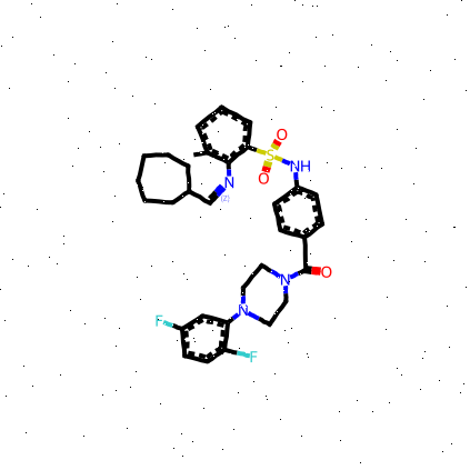 Cc1cccc(S(=O)(=O)Nc2ccc(C(=O)N3CCN(c4cc(F)ccc4F)CC3)cc2)c1/N=C\C1CCCCCC1